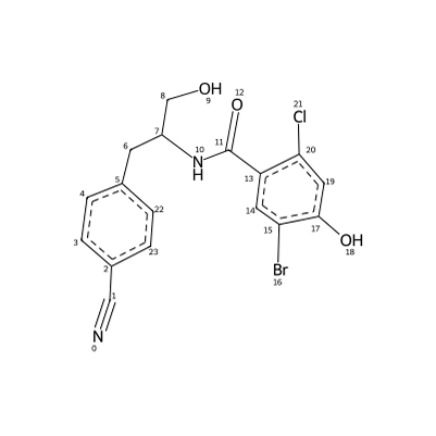 N#Cc1ccc(CC(CO)NC(=O)c2cc(Br)c(O)cc2Cl)cc1